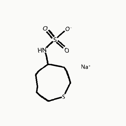 O=S(=O)([O-])NC1CCCSCC1.[Na+]